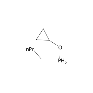 CCCC.POC1CC1